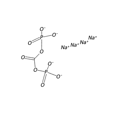 O=C(OP(=O)([O-])[O-])OP(=O)([O-])[O-].[Na+].[Na+].[Na+].[Na+]